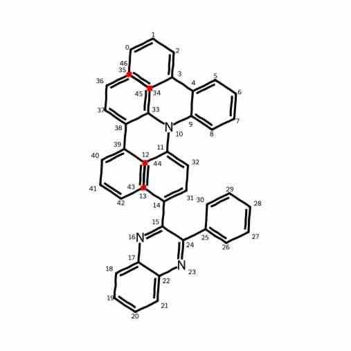 c1ccc(-c2ccccc2N(c2ccc(-c3nc4ccccc4nc3-c3ccccc3)cc2)c2ccccc2-c2ccccc2)cc1